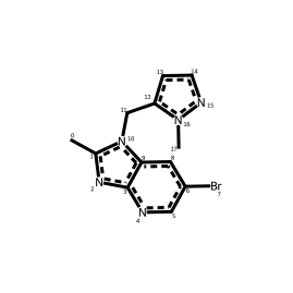 Cc1nc2ncc(Br)cc2n1Cc1ccnn1C